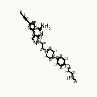 CC#Cc1nc2c3cnn(CCN4CCN(c5ccc(OCCNC)cc5)CC4)c3nc(N)n2n1